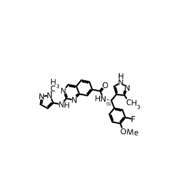 COc1ccc([C@H](NC(=O)c2ccc3cnc(Nc4ccnn4C)nc3c2)c2c[nH]nc2C)cc1F